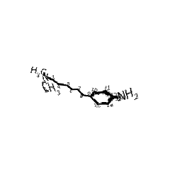 CN(C)CCCCCCc1ccc(N)cc1